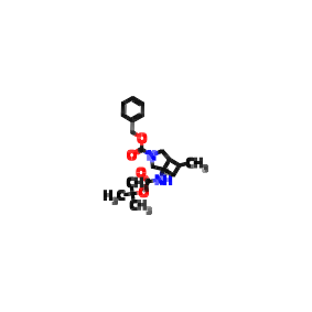 CC1C[C@]2(NC(=O)OC(C)(C)C)CN(C(=O)OCc3ccccc3)CC12